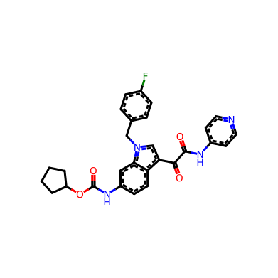 O=C(Nc1ccc2c(C(=O)C(=O)Nc3ccncc3)cn(Cc3ccc(F)cc3)c2c1)OC1CCCC1